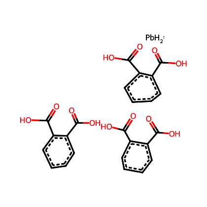 O=C(O)c1ccccc1C(=O)O.O=C(O)c1ccccc1C(=O)O.O=C(O)c1ccccc1C(=O)O.[PbH2]